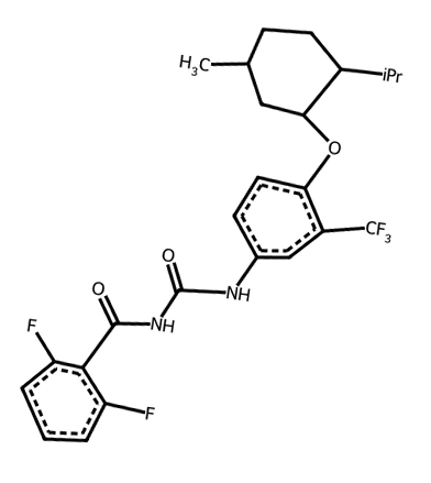 CC1CCC(C(C)C)C(Oc2ccc(NC(=O)NC(=O)c3c(F)cccc3F)cc2C(F)(F)F)C1